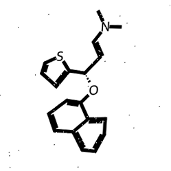 CN(C)C=C[C@H](Oc1cccc2ccccc12)c1cccs1